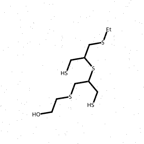 [CH2]CSCC(CS)SC(CS)CSCCO